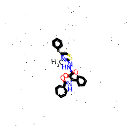 CN1C(=NNC(=O)C(=O)[C@H](NC(=O)C2CCCCCC2)C2CCCCC2)SC[C@H]1Cc1ccccc1